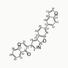 O=c1c(-c2cnc3oc4cc(-c5ccc6occc6c5)ccc4c3c2)coc2ccccc12